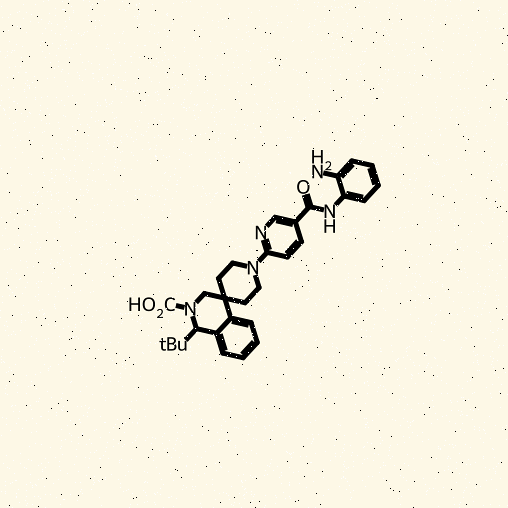 CC(C)(C)C1c2ccccc2C2(CCN(c3ccc(C(=O)Nc4ccccc4N)cn3)CC2)CN1C(=O)O